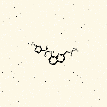 CNCc1ccc2cccc(NS(=O)(=O)c3cnn(C)c3)c2n1